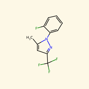 Cc1cc(C(F)(F)F)nn1-c1ccccc1F